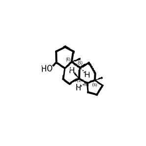 C[C@@]12CCC[C@H]1[C@@H]1CCC3C(O)CCC[C@]3(C)[C@H]1CC2